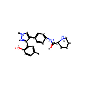 Cc1ccc(O)c(-c2nn(C)cc2-c2ccc(NC(=O)C3CCCCN3)cc2)c1